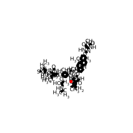 C=CCC1(C(C)CCC)C(=O)NC(=O)NC1=O.CC(=O)Oc1c(C)cc(OCC(O)CNC(C)C)c(C)c1C.CC1CC(=O)C=C2CC[C@H]3[C@@H]4CC[C@H](O)[C@@]4(C)CC[C@@H]3[C@]21C.CCC(C)C1(CC)C(=O)NC(=O)NC1=O.Cc1cc(=O)[nH]c(=S)[nH]1.Cn1c(=O)[nH]c2nc[nH]c2c1=O